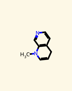 CN1C=CCc2ccncc21